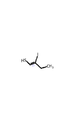 CC/C(I)=C/S